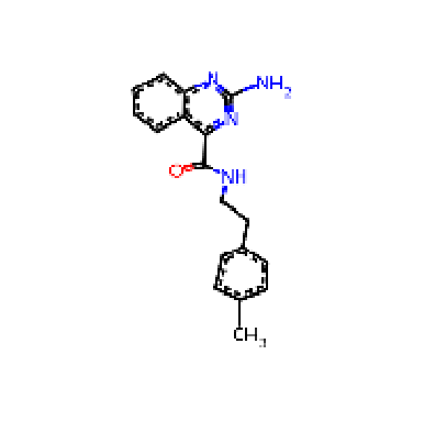 Cc1ccc(CCNC(=O)c2nc(N)nc3ccccc23)cc1